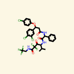 CC(C)C(NC(=O)C(NC(=O)CC(Oc1ccc(Cl)cc1)c1ccc(Cl)c(Cl)c1)c1ccccc1)C(=O)C(F)(F)C(=O)NCC(F)(F)F